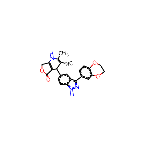 [C-]#[N+]C1=C(C)NC2=C(C(=O)OC2)C1c1ccc2[nH]nc(-c3ccc4c(c3)OCCO4)c2c1